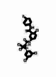 O=C(Nc1ccc(Cl)c(C(=S)Nc2ccc(F)cc2)c1)[C@H]1[C@H](c2cc(Cl)cc(Cl)c2)C1(Cl)Cl